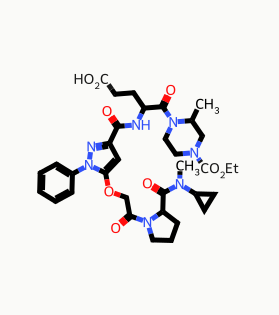 CCOC(=O)N1CCN(C(=O)C(CCC(=O)O)NC(=O)c2cc(OCC(=O)N3CCCC3C(=O)N(C)C3CC3)n(-c3ccccc3)n2)C(C)C1